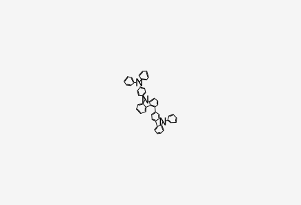 c1ccc(N(c2ccccc2)c2ccc(-n3c4ccccc4c4c(-c5ccc6c7ccccc7n(-c7ccccc7)c6c5)cccc43)cc2)cc1